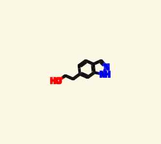 OCCc1ccc2cn[nH]c2c1